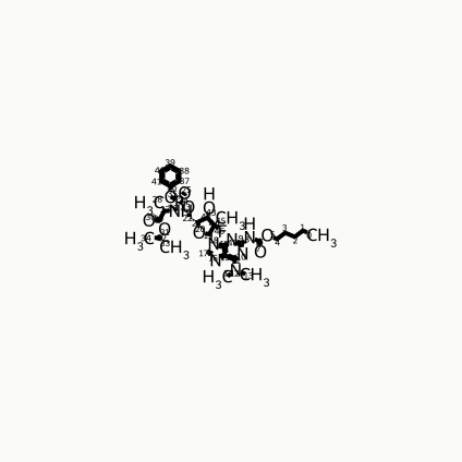 CCCCCOC(=O)Nc1nc(N(C)C)c2ncn([C@@H]3O[C@H](COP(=O)(N[C@@H](C)C(=O)OC(C)C)Oc4ccccc4)[C@@H](O)[C@@]3(C)F)c2n1